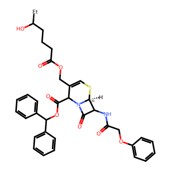 CCC(O)CCCC(=O)OCC1=CS[C@H]2C(NC(=O)COc3ccccc3)C(=O)N2C1C(=O)OC(c1ccccc1)c1ccccc1